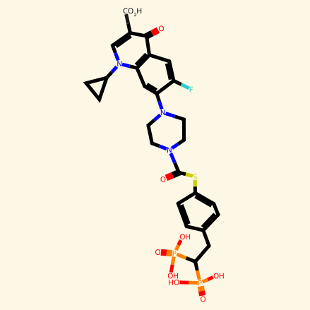 O=C(O)c1cn(C2CC2)c2cc(N3CCN(C(=O)Sc4ccc(CC(P(=O)(O)O)P(=O)(O)O)cc4)CC3)c(F)cc2c1=O